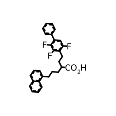 O=C(O)C(CCCc1cccc2ccccc12)CCc1c(F)cc(-c2ccccc2)c(F)c1F